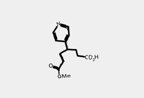 COC(=O)CCC(CCC(=O)O)c1ccncc1